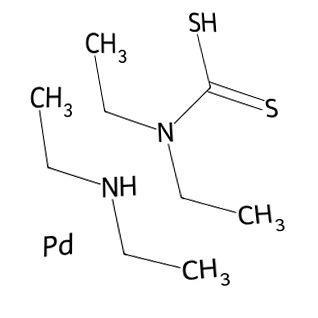 CCN(CC)C(=S)S.CCNCC.[Pd]